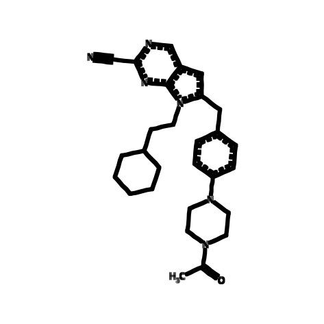 CC(=O)N1CCN(c2ccc(Cc3cc4cnc(C#N)nc4n3CCC3CCCCC3)cc2)CC1